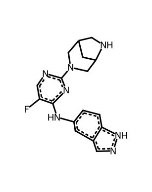 Fc1cnc(N2CC3CNC(C3)C2)nc1Nc1ccc2[nH]ncc2c1